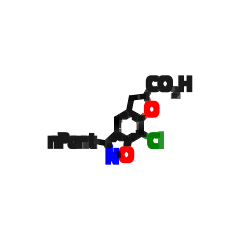 CCCCCc1noc2c(Cl)c3c(cc12)CC(C(=O)O)O3